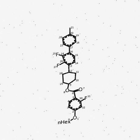 CCCCCCOc1ccc(C(=O)OC2CCC(c3ccc(-c4ccc(C)cc4)c(F)c3F)CC2)c(F)c1